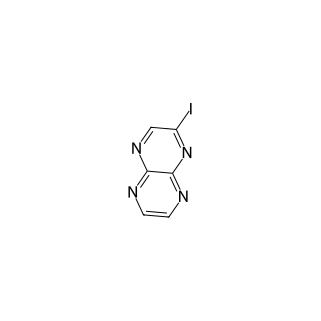 Ic1cnc2nccnc2n1